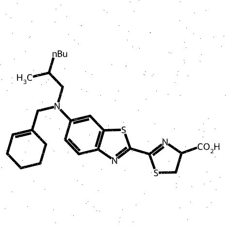 CCCCC(C)CN(CC1=CCCCC1)c1ccc2nc(C3=NC(C(=O)O)CS3)sc2c1